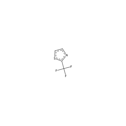 FC(F)(F)c1nccs1